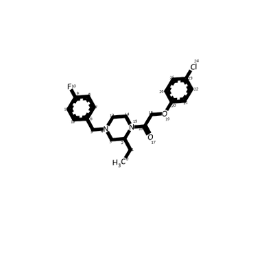 CCC1CN(Cc2ccc(F)cc2)CCN1C(=O)COc1ccc(Cl)cc1